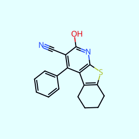 N#Cc1c(O)nc2sc3c(c2c1-c1ccccc1)CCCC3